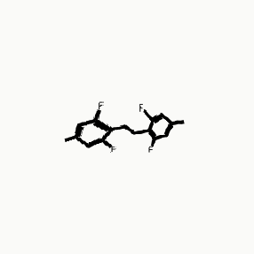 Cc1cc(F)c(CCc2c(F)cc(C)cc2F)c(F)c1